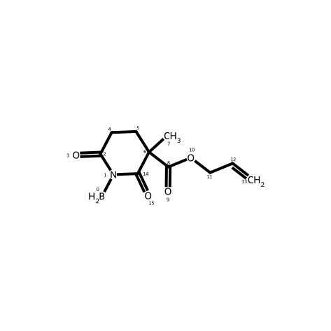 BN1C(=O)CCC(C)(C(=O)OCC=C)C1=O